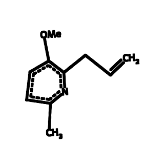 C=CCc1nc(C)ccc1OC